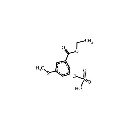 CCOC(=O)c1cccc(SC)c1.O=S(=O)(O)Cl